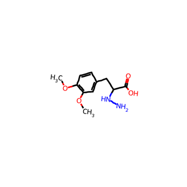 COc1ccc(CC(NN)C(=O)O)cc1OC